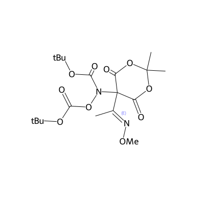 CO/N=C(\C)C1(N(OC(=O)OC(C)(C)C)C(=O)OC(C)(C)C)C(=O)OC(C)(C)OC1=O